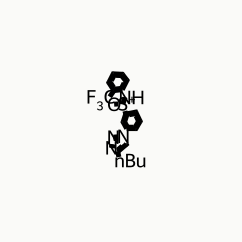 CCCCc1cn(-c2cccc([S+]([O-])Nc3ccccc3C(F)(F)F)c2)nn1